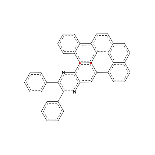 c1ccc(-c2nc3ccc(-c4cccc5ccc6ccc7c8ccccc8ccc7c6c45)cc3nc2-c2ccccc2)cc1